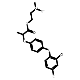 CC(Oc1ccc(Oc2ccc(Cl)cc2Cl)cc1)C(=O)OCC[S+](C)[O-]